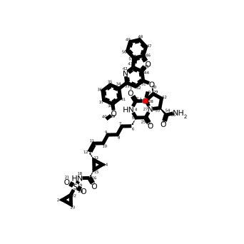 COC(=O)N[C@@H](CCCCC/C=C\[C@@H]1C[C@@H]1C(=O)NS(=O)(=O)C1CC1)C(=O)N1C[C@H](Oc2cc(-c3cccc(OC)c3)nc3c2oc2ccccc23)C[C@H]1C(N)=O